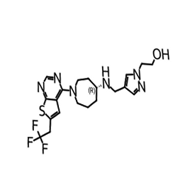 OCCn1cc(CN[C@@H]2CCCN(c3ncnc4sc(CC(F)(F)F)cc34)CC2)cn1